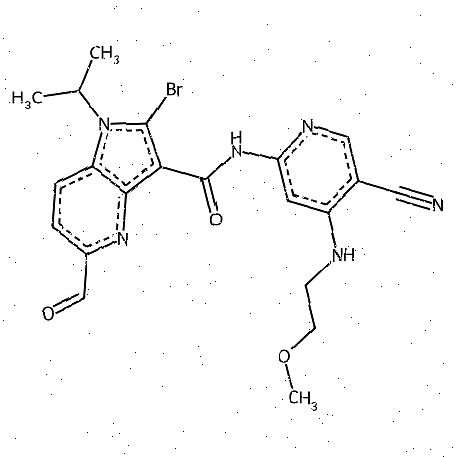 COCCNc1cc(NC(=O)c2c(Br)n(C(C)C)c3ccc(C=O)nc23)ncc1C#N